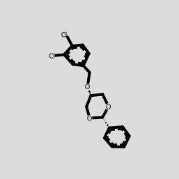 Clc1ccc(CO[C@H]2CO[C@@H](c3ccccc3)OC2)cc1Cl